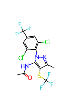 CC(=O)Nc1c(SC(F)(F)F)c(C)nn1-c1c(Cl)cc(C(F)(F)F)cc1Cl